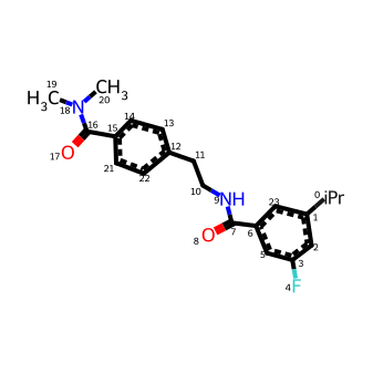 CC(C)c1cc(F)cc(C(=O)NCCc2ccc(C(=O)N(C)C)cc2)c1